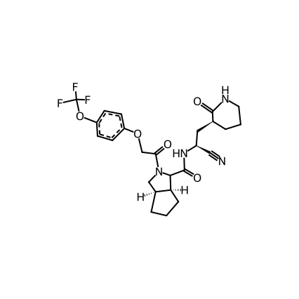 N#C[C@H](C[C@@H]1CCCNC1=O)NC(=O)C1[C@H]2CCC[C@H]2CN1C(=O)COc1ccc(OC(F)(F)F)cc1